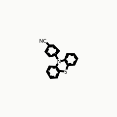 N#Cc1ccc(N2c3ccccc3Sc3ccccc32)cc1